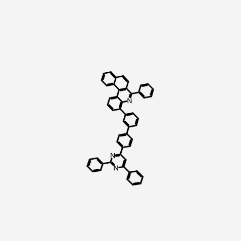 c1ccc(-c2cc(-c3ccc(-c4cccc(-c5cccc6c5nc(-c5ccccc5)c5ccc7ccccc7c56)c4)cc3)nc(-c3ccccc3)n2)cc1